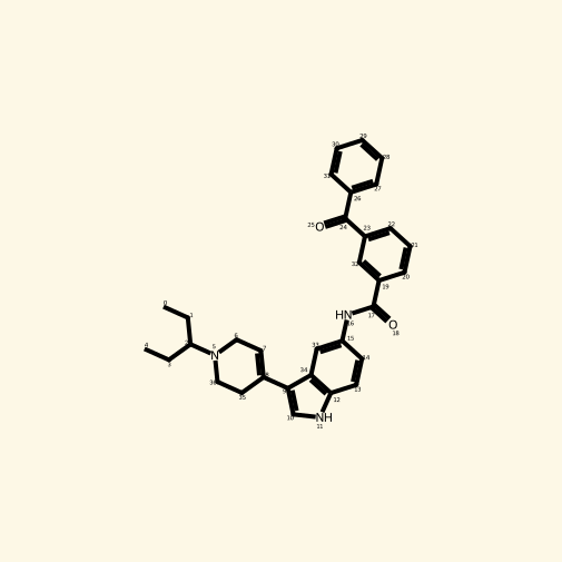 CCC(CC)N1CC=C(c2c[nH]c3ccc(NC(=O)c4cccc(C(=O)c5ccccc5)c4)cc23)CC1